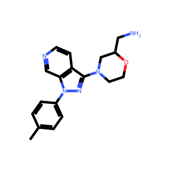 Cc1ccc(-n2nc(N3CCOC(CN)C3)c3ccncc32)cc1